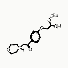 CC(C)(C)OC(O)COc1ccc(C(=O)CS2(I)CCOCC2)cc1